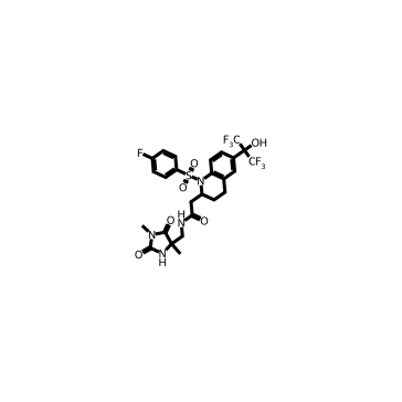 CN1C(=O)NC(C)(CNC(=O)CC2CCc3cc(C(O)(C(F)(F)F)C(F)(F)F)ccc3N2S(=O)(=O)c2ccc(F)cc2)C1=O